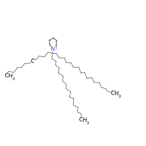 CCCCCCCCCCCCCCCCCC(CCCCCCCCCCCC)(CCCCCCCCCCCCCCCCC)[n+]1ccccc1